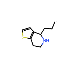 [CH2]CCC1NCCc2sccc21